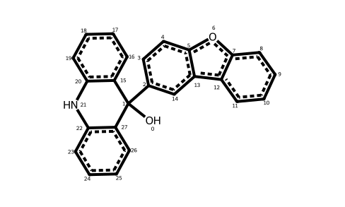 OC1(c2ccc3oc4ccccc4c3c2)c2ccccc2Nc2ccccc21